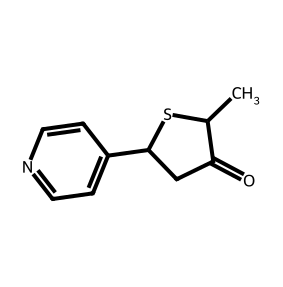 CC1SC(c2ccncc2)CC1=O